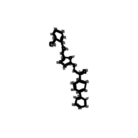 O=C(CSc1nnc(COc2ccccc2Cl)o1)c1ccc(-c2ccccc2)cc1